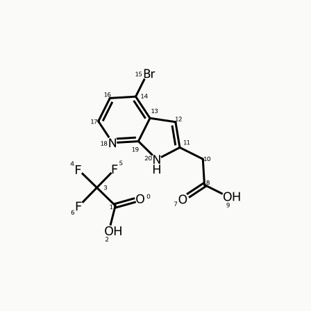 O=C(O)C(F)(F)F.O=C(O)Cc1cc2c(Br)ccnc2[nH]1